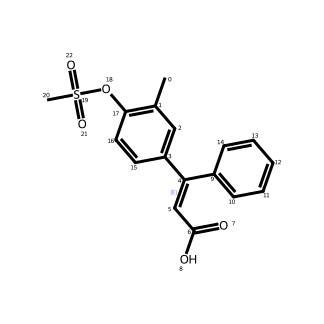 Cc1cc(/C(=C/C(=O)O)c2ccccc2)ccc1OS(C)(=O)=O